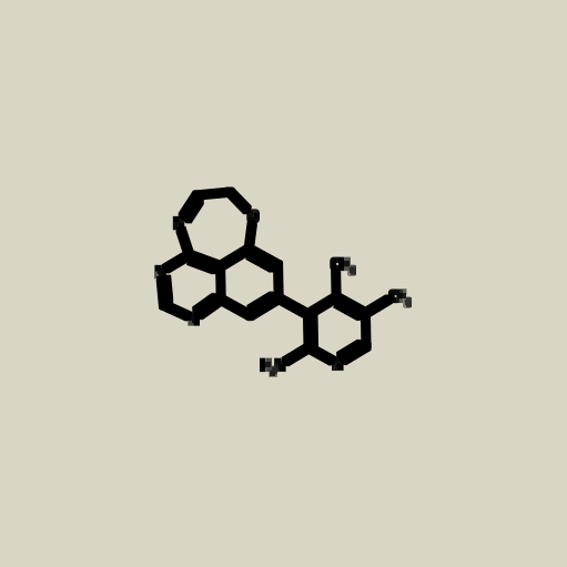 Cc1c(C(F)(F)F)cnc(N)c1-c1cc2c3c(ncnc3c1)N=CCO2